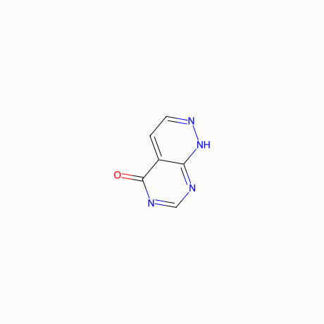 O=c1ncnc2[nH]nccc1-2